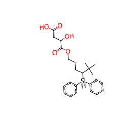 CC(C)(C)C(CCCOC(=O)C(O)CC(=O)O)[SiH](c1ccccc1)c1ccccc1